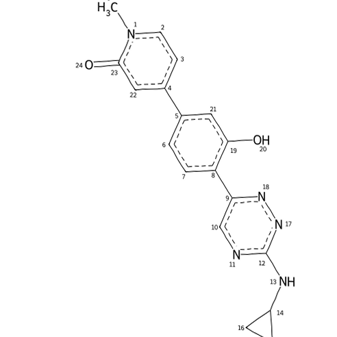 Cn1ccc(-c2ccc(-c3cnc(NC4CC4)nn3)c(O)c2)cc1=O